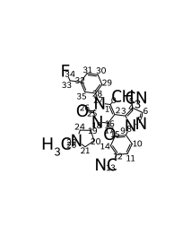 Cc1c(-c2c(C#N)cnn2-c2ccc(C#N)cc2)c(=O)n([C@@H]2CCN(C)C2)c(=O)n1-c1cccc(CF)c1